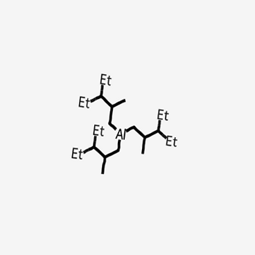 CCC(CC)C(C)[CH2][Al]([CH2]C(C)C(CC)CC)[CH2]C(C)C(CC)CC